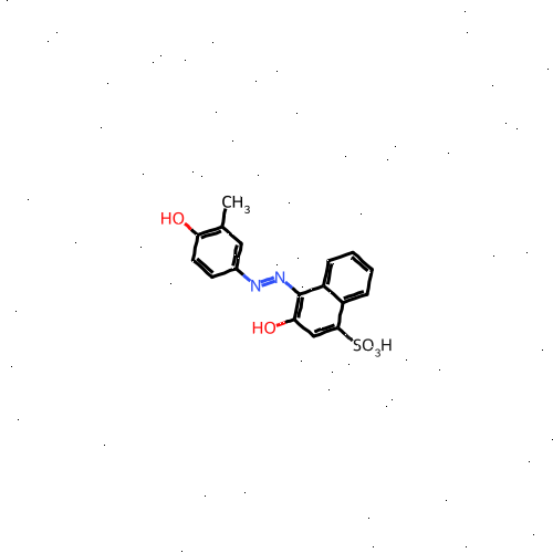 Cc1cc(N=Nc2c(O)cc(S(=O)(=O)O)c3ccccc23)ccc1O